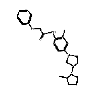 Cc1cc(N2CCC(N3CCCC3C)C2)ccc1NC(=O)COc1ccccc1